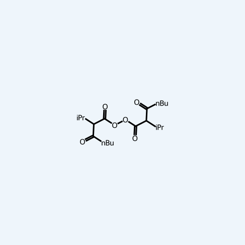 CCCCC(=O)C(C(=O)OOC(=O)C(C(=O)CCCC)C(C)C)C(C)C